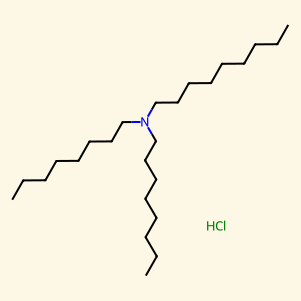 CCCCCCCCCN(CCCCCCCC)CCCCCCCC.Cl